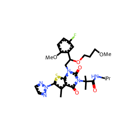 COCCCOC(Cn1c(=O)n(C(C)(C)C(=O)NC(C)C)c(=O)c2c(C)c(-n3nccn3)sc21)c1cc(F)ccc1OC